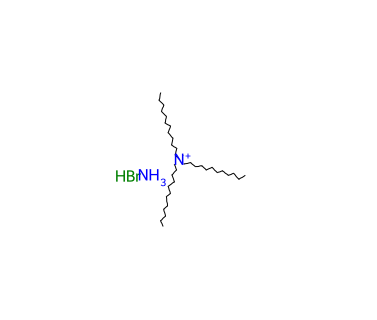 Br.CCCCCCCCCCCC[N+](C)(CCCCCCCCCCCC)CCCCCCCCCCCC.N